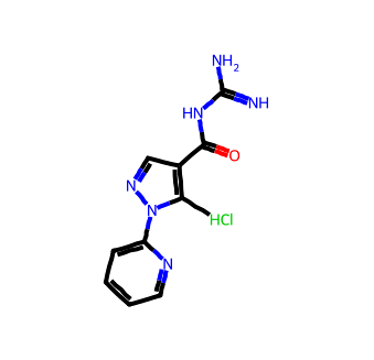 Cc1c(C(=O)NC(=N)N)cnn1-c1ccccn1.Cl